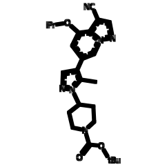 Cc1c(-c2cc(OC(C)C)c3c(C#N)cnn3c2)cnn1C1CCN(C(=O)OC(C)(C)C)CC1